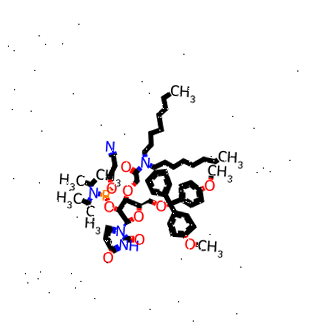 CCCCCCCCN(CCCCCCCC)C(=O)COC1C(OP(OCCC#N)N(C(C)C)C(C)C)[C@H](n2ccc(=O)[nH]c2=O)O[C@@H]1COC(c1ccccc1)(c1ccc(OC)cc1)c1ccc(OC)cc1